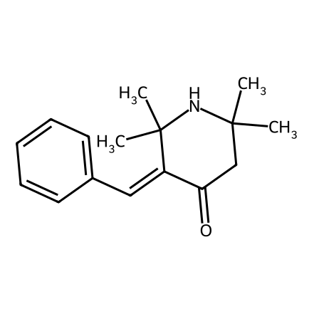 CC1(C)CC(=O)C(=Cc2ccccc2)C(C)(C)N1